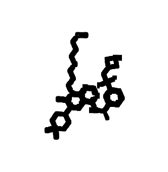 C[C@@H](Nc1ncnc2c1cc(C1CCS(=O)(=O)CC1)c(=O)n2CCCOCCCC=O)c1cccc(C(F)(F)CC2CNC2)c1